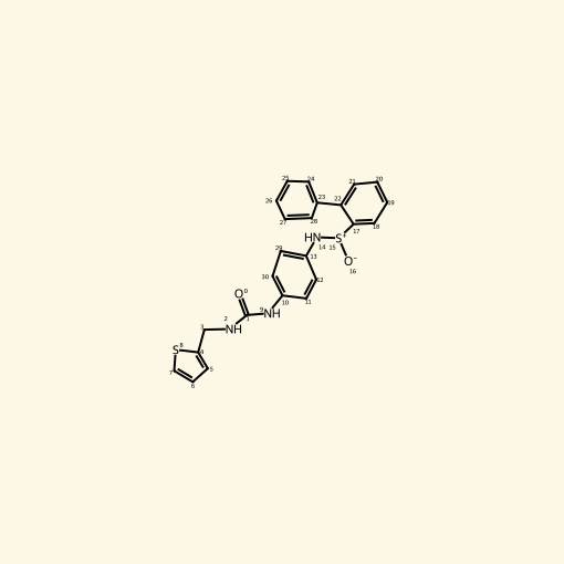 O=C(NCc1cccs1)Nc1ccc(N[S+]([O-])c2ccccc2-c2ccccc2)cc1